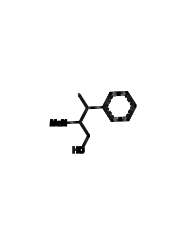 CNC(CO)C(C)c1ccccc1